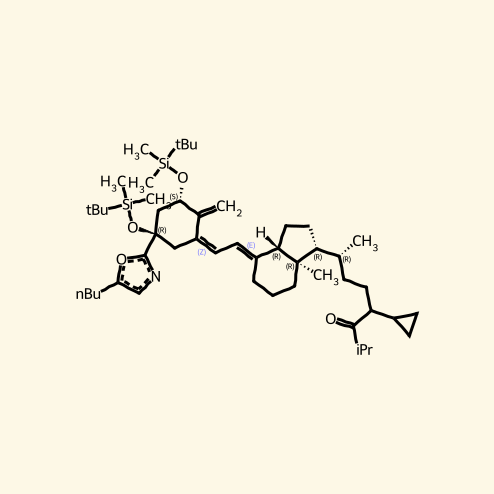 C=C1/C(=C\C=C2/CCC[C@]3(C)[C@@H]([C@H](C)CCC(C(=O)C(C)C)C4CC4)CC[C@@H]23)C[C@](O[Si](C)(C)C(C)(C)C)(c2ncc(CCCC)o2)C[C@@H]1O[Si](C)(C)C(C)(C)C